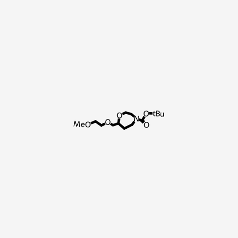 COCCOCC1CCN(C(=O)OC(C)(C)C)CCO1